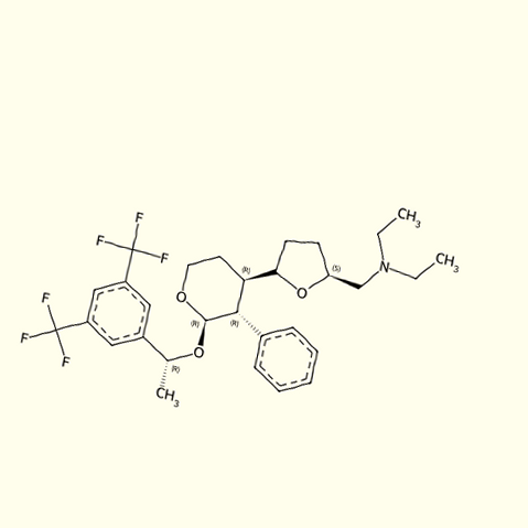 CCN(CC)C[C@@H]1CCC([C@@H]2CCO[C@H](O[C@H](C)c3cc(C(F)(F)F)cc(C(F)(F)F)c3)[C@H]2c2ccccc2)O1